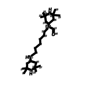 CC1(C)CC(NCCCCCCN(C=O)C2CC(C)(C)NC(C)(C)C2)CC(C)(C)N1